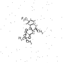 CN(Cc1ccc(C(F)(F)F)cc1)C(=O)C=C1OC(C)(C)OC1=O